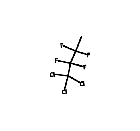 CC(F)(F)C(F)(F)C(Cl)(Cl)Cl